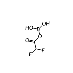 O=C(OB(O)O)C(F)F